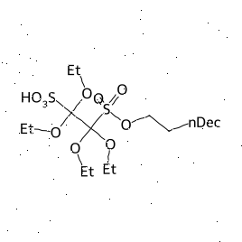 CCCCCCCCCCCCOS(=O)(=O)C(OCC)(OCC)C(OCC)(OCC)S(=O)(=O)O